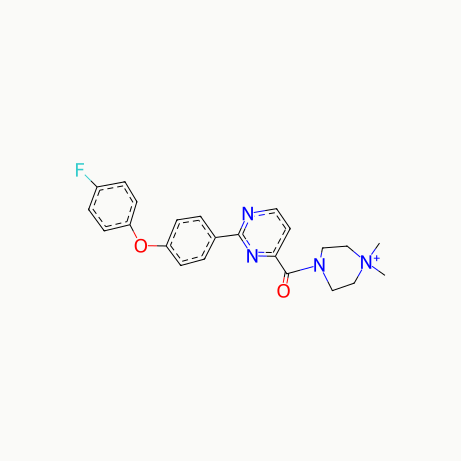 C[N+]1(C)CCN(C(=O)c2ccnc(-c3ccc(Oc4ccc(F)cc4)cc3)n2)CC1